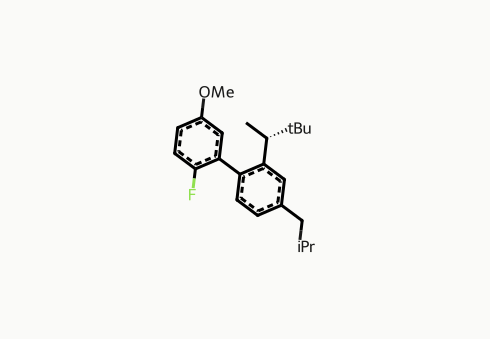 COc1ccc(F)c(-c2ccc(CC(C)C)cc2[C@H](C)C(C)(C)C)c1